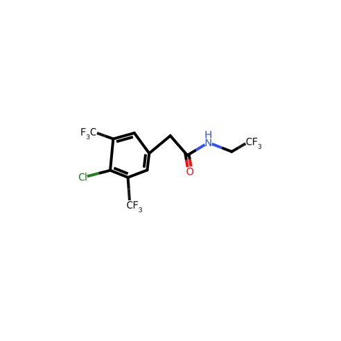 O=C(Cc1cc(C(F)(F)F)c(Cl)c(C(F)(F)F)c1)NCC(F)(F)F